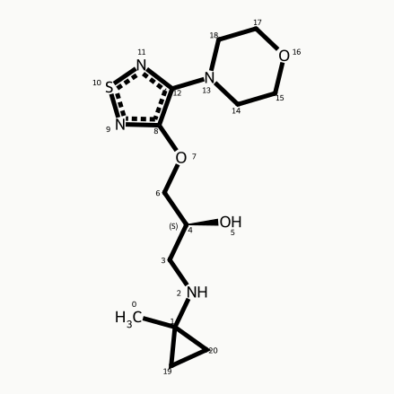 CC1(NC[C@H](O)COc2nsnc2N2CCOCC2)CC1